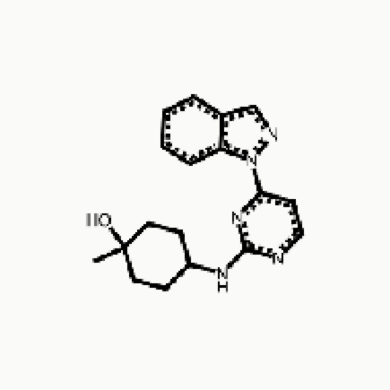 CC1(O)CCC(Nc2nccc(-n3ncc4ccccc43)n2)CC1